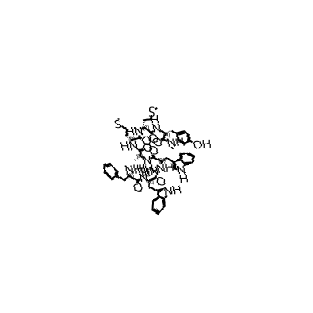 CNC(=O)[C@@H](Cc1ccc(O)cc1)NC(=O)[C@@H](CCSC)NC(=O)[C@@H](CCSC)NC(=O)[C@@H](C)NC(=O)[C@@H](Cc1c[nH]c2ccccc12)NNC(=O)[C@@H](Cc1c[nH]c2ccccc12)NC(=O)[C@H](N)Cc1ccccc1